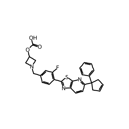 O=C(O)OC1CN(Cc2ccc(-c3nc4ccc(C5(c6ccccc6)CC=CC5)nc4s3)c(F)c2)C1